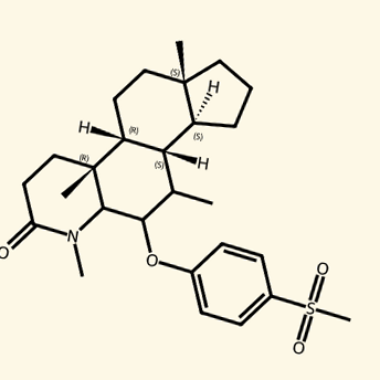 CC1C(Oc2ccc(S(C)(=O)=O)cc2)C2N(C)C(=O)CC[C@]2(C)[C@@H]2CC[C@]3(C)CCC[C@H]3[C@H]12